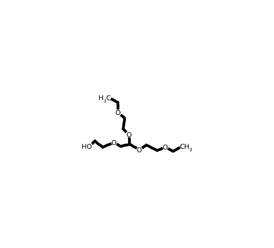 CCOCCOC(COCCO)OCCOCC